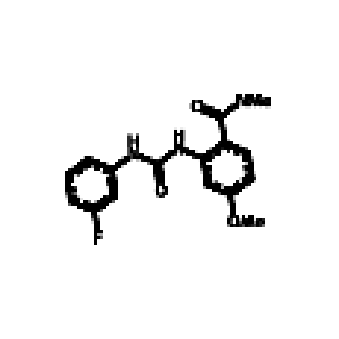 CNC(=O)c1ccc(OC)cc1NC(=O)Nc1cccc(F)c1